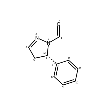 O=CN1N=CC[C@H]1c1ccccc1